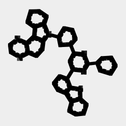 c1ccc(-c2nc(-c3cccc(-n4c5ccccc5c5c6nccnc6ccc54)c3)cc(-c3cccc4c3sc3ccccc34)n2)cc1